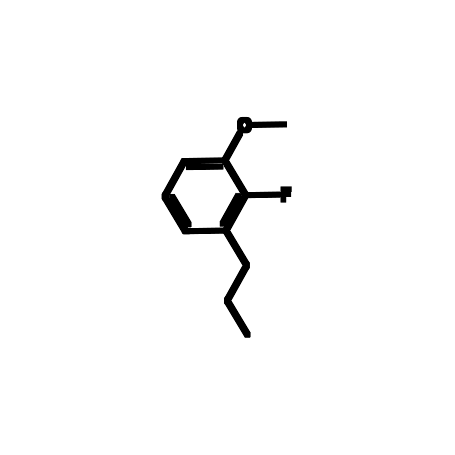 CCCc1cccc(OC)c1F